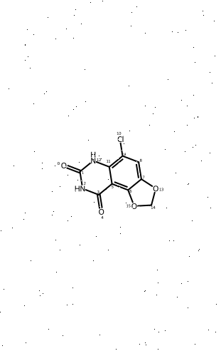 O=c1[nH]c(=O)c2c3c(cc(Cl)c2[nH]1)OCO3